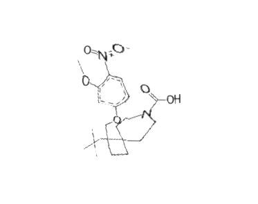 COc1cc(OCC2(C(C)(C)C)CCC23CCN(C(=O)O)CC3)ccc1[N+](=O)[O-]